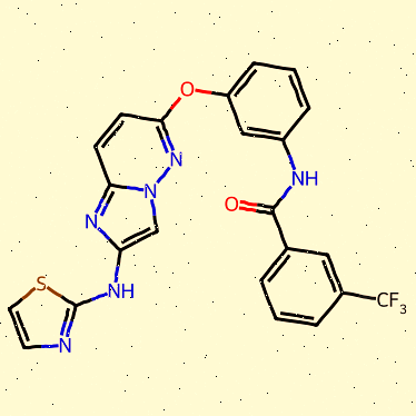 O=C(Nc1cccc(Oc2ccc3nc(Nc4nccs4)cn3n2)c1)c1cccc(C(F)(F)F)c1